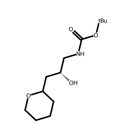 CC(C)(C)OC(=O)NC[C@H](O)CC1CCCCO1